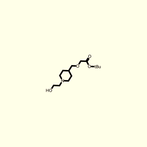 CC(C)(C)OC(=O)COCC1CCN(CCO)CC1